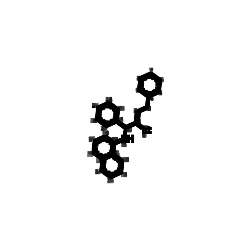 CC/C(=C\Cc1ccccc1)[C@@H](Nc1cccc2ccccc12)c1ccccc1